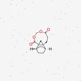 O=C1CC[C@]23C[C@]2(C(=O)OCO1)[C@H]1CC[C@H]3CC1